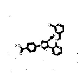 N#Cc1cn(-c2ccc(C(=O)O)cc2)cc1-c1ccccc1OCc1cccc(Cl)c1